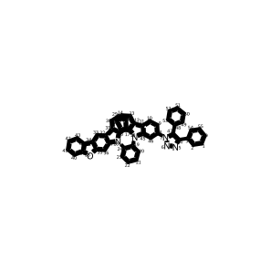 c1ccc(-c2nnn(-c3ccc4c5ccccc5n(-c5ccccc5-n5c6ccccc6c6cc7c(cc65)oc5ccccc57)c4c3)c2-c2ccccc2)cc1